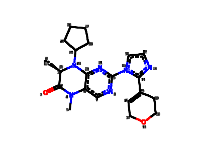 CC[C@@H]1C(=O)N(C)c2cnc(-n3ccnc3C3=CCOCC3)nc2N1C1CCCC1